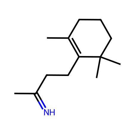 CC(=N)CCC1=C(C)CCCC1(C)C